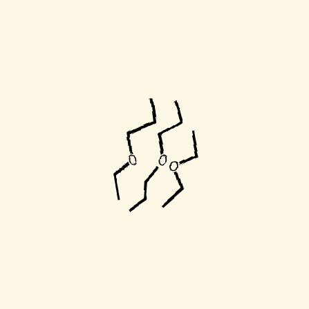 CCCOCC.CCCOCCC.CCOCC